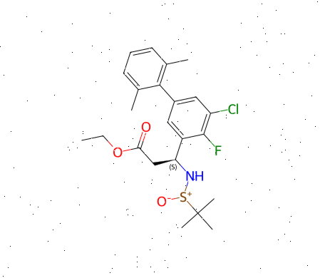 CCOC(=O)C[C@H](N[S+]([O-])C(C)(C)C)c1cc(-c2c(C)cccc2C)cc(Cl)c1F